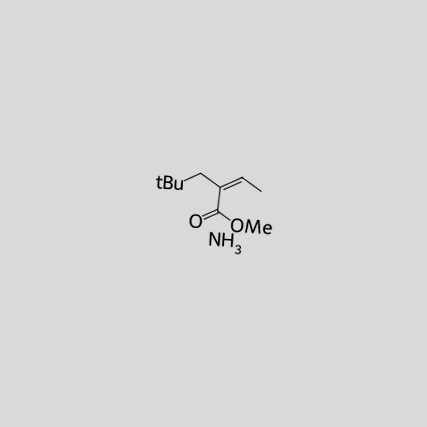 CC=C(CC(C)(C)C)C(=O)OC.N